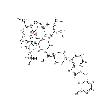 CCN1CCc2cc(OC)c(OC)cc2C1C1CC(C(=O)N2CCN(c3ncnc4c3cnn4Cc3cccc(C)c3)CC2)CCC12c1cc(OC)c(OC)cc1CCN2C(=O)CCNC